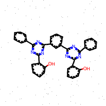 Oc1ccccc1-c1nc(-c2ccccc2)nc(-c2cccc(-c3nc(-c4ccccc4)nc(-c4ccccc4O)n3)c2)n1